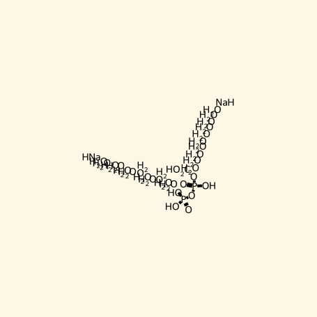 O.O.O.O.O.O.O.O.O.O.O.O.O.O.O.O.O.O.O.O.O.O.O=C(O)OP(=O)(O)OP(=O)(O)O.[NaH].[NaH]